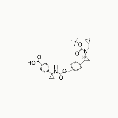 CC(C)(C)OC(=O)N(CC1CC1)[C@H]1CC1c1ccc(COC(=O)NC2(c3ccc(C(=O)O)cc3)CC2)cc1